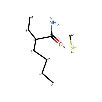 CCCCC(CC)C(N)=O.CS